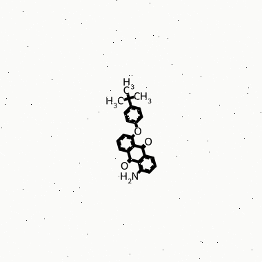 CC(C)(C)c1ccc(Oc2cccc3c2C(=O)c2cccc(N)c2C3=O)cc1